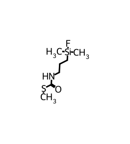 CSC(=O)NCCC[Si](C)(C)F